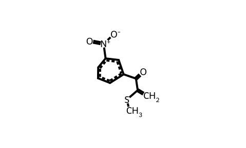 C=C(SC)C(=O)c1cccc([N+](=O)[O-])c1